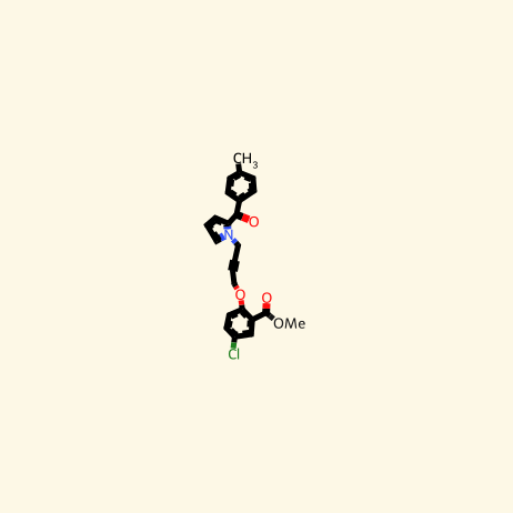 COC(=O)c1cc(Cl)ccc1OCC#CCn1cccc1C(=O)c1ccc(C)cc1